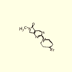 CCC1CCN(c2ncc3c(n2)CN(C)C3=O)CC1